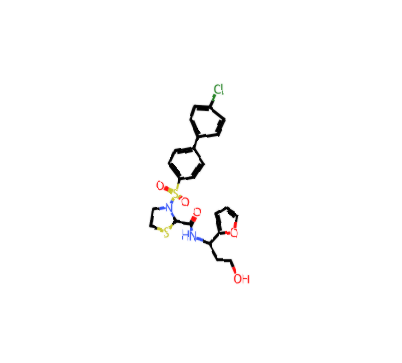 O=C(NC(CCO)c1ccco1)C1SCCN1S(=O)(=O)c1ccc(-c2ccc(Cl)cc2)cc1